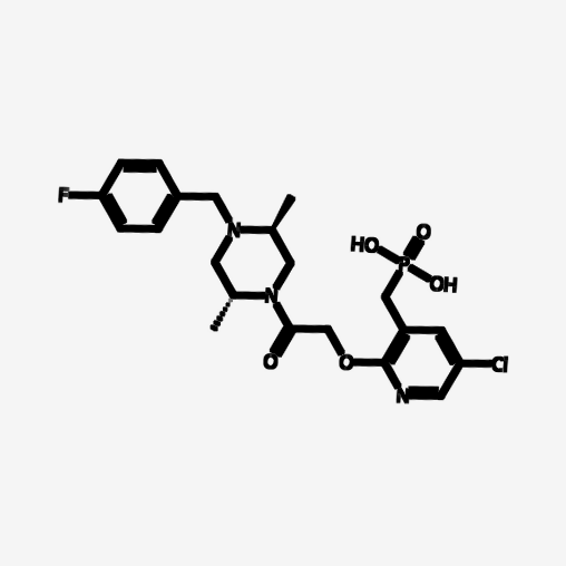 C[C@@H]1CN(Cc2ccc(F)cc2)[C@@H](C)CN1C(=O)COc1ncc(Cl)cc1CP(=O)(O)O